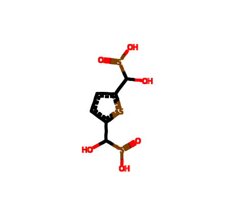 O=S(O)C(O)c1ccc(C(O)S(=O)O)s1